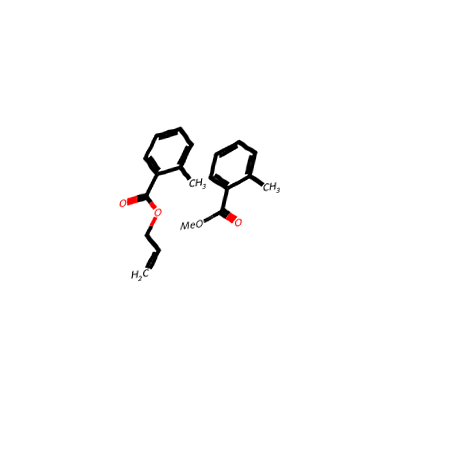 C=CCOC(=O)c1ccccc1C.COC(=O)c1ccccc1C